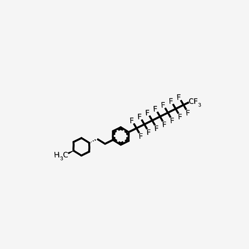 C[C@H]1CC[C@H](CCc2ccc(C(F)(F)C(F)(F)C(F)(F)C(F)(F)C(F)(F)C(F)(F)C(F)(F)C(F)(F)F)cc2)CC1